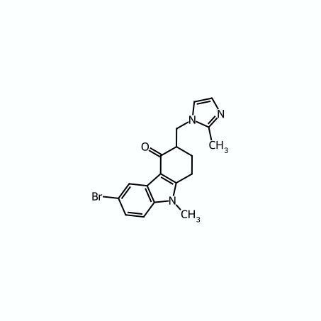 Cc1nccn1CC1CCc2c(c3cc(Br)ccc3n2C)C1=O